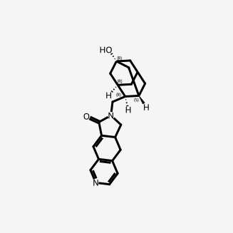 O=C1C2=Cc3cnccc3CC2CN1C[C@H]1[C@@H]2CC3C[C@H]1C[C@](O)(C3)C2